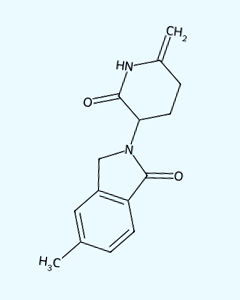 C=C1CCC(N2Cc3cc(C)ccc3C2=O)C(=O)N1